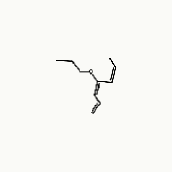 C=C/C=C(\C=C/C)OCCC